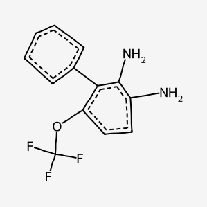 Nc1ccc(OC(F)(F)F)c(-c2ccccc2)c1N